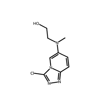 CN(CCO)c1ccc2nnc(Cl)n2c1